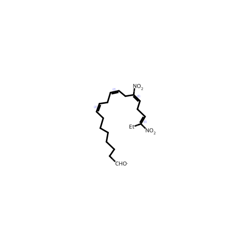 CC/C(=C\C/C=C(\C/C=C\C/C=C\CCCCCC[C]=O)[N+](=O)[O-])[N+](=O)[O-]